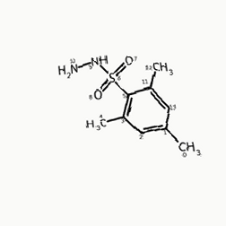 Cc1cc(C)c(S(=O)(=O)NN)c(C)c1